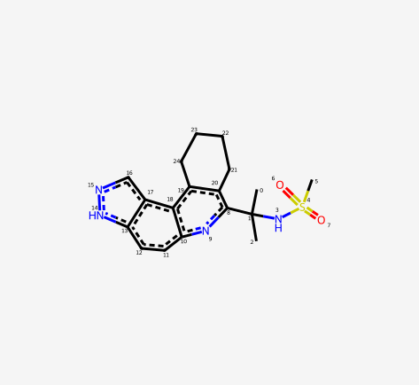 CC(C)(NS(C)(=O)=O)c1nc2ccc3[nH]ncc3c2c2c1CCCC2